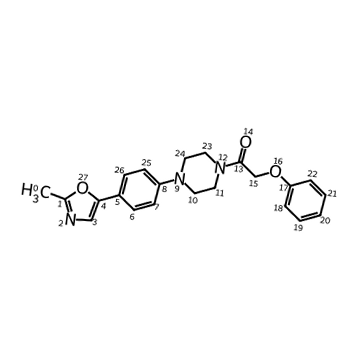 Cc1ncc(-c2ccc(N3CCN(C(=O)COc4ccccc4)CC3)cc2)o1